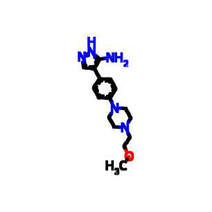 COCCN1CCN(c2ccc(-c3cn[nH]c3N)cc2)CC1